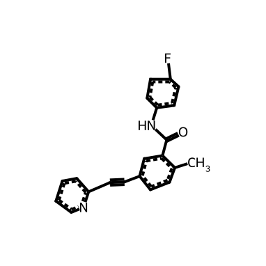 Cc1ccc(C#Cc2ccccn2)cc1C(=O)Nc1ccc(F)cc1